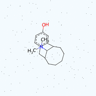 CN(C)C1C2CCCCCC1c1cc(O)ccc1C2